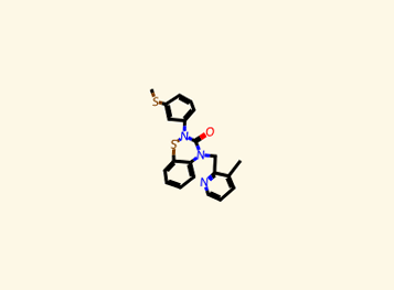 CSc1cccc(N2Sc3ccccc3N(Cc3ncccc3C)C2=O)c1